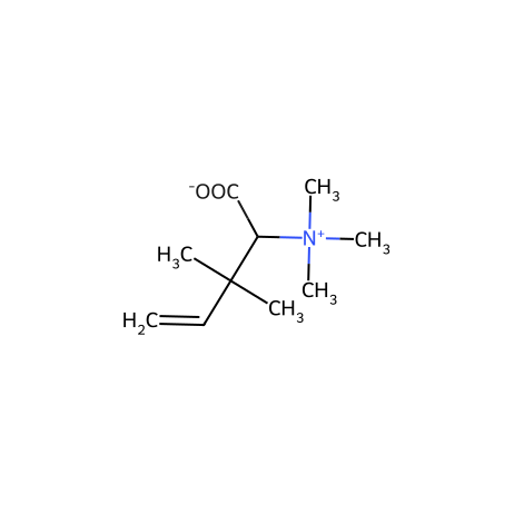 C=CC(C)(C)C(C(=O)[O-])[N+](C)(C)C